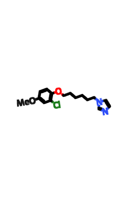 COc1ccc(OCCCCCCn2ccnc2)c(Cl)c1